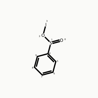 O=S(OI)c1ccccc1